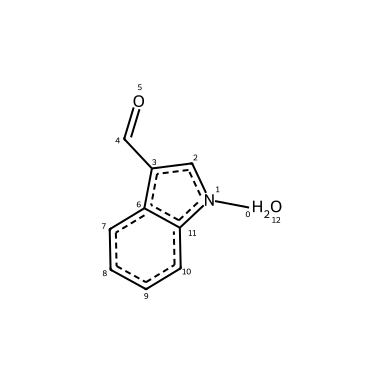 Cn1cc(C=O)c2ccccc21.O